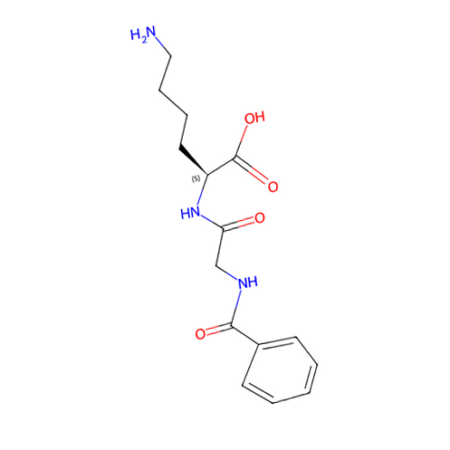 NCCCC[C@H](NC(=O)CNC(=O)c1ccccc1)C(=O)O